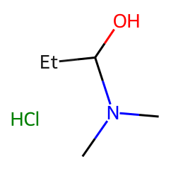 CCC(O)N(C)C.Cl